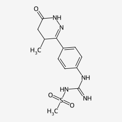 CC1CC(=O)NN=C1c1ccc(NC(=N)NS(C)(=O)=O)cc1